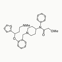 CNCCC(Oc1ccccc1CN1CCC(N(C(=O)COC)c2ccccc2)CC1)c1cccs1